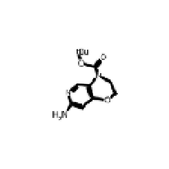 CC(C)(C)OC(=O)N1CCOc2cc(N)ncc21